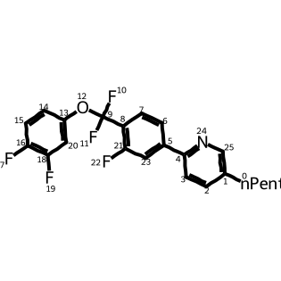 CCCCCc1ccc(-c2ccc(C(F)(F)Oc3ccc(F)c(F)c3)c(F)c2)nc1